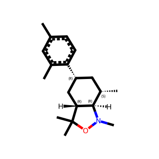 Cc1ccc([C@H]2C[C@@H]3[C@@H]([C@@H](C)C2)N(C)OC3(C)C)c(C)c1